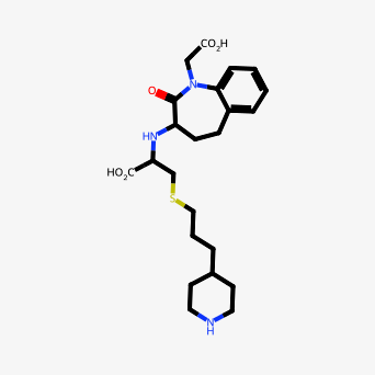 O=C(O)CN1C(=O)C(NC(CSCCCC2CCNCC2)C(=O)O)CCc2ccccc21